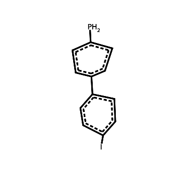 Pc1ccc(-c2ccc(I)cc2)cc1